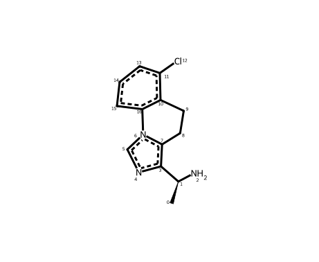 C[C@H](N)c1ncn2c1CCc1c(Cl)cccc1-2